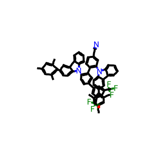 Cc1cc(C)c(-c2ccc3c(c2)c2ccccc2n3-c2ccc(-c3cc(C(F)(F)F)cc(C(F)(F)F)c3)cc2-c2ccc(C#N)cc2-n2c3ccccc3c3cc(-c4c(C)cc(C)cc4C)ccc32)c(C)c1